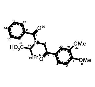 COc1ccc(C(=O)CN(C(=O)c2ccccc2)C(C(=O)O)C(C)C)cc1OC